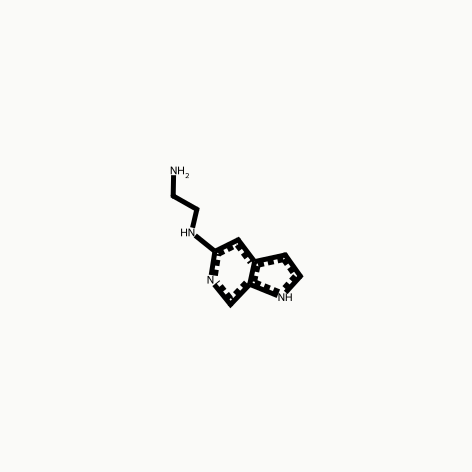 NCCNc1cc2cc[nH]c2cn1